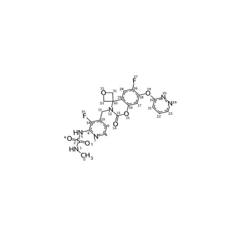 CNS(=O)(=O)Nc1nccc(CN2C(=O)Oc3cc(Oc4cccnn4)c(F)cc3C23COC3)c1F